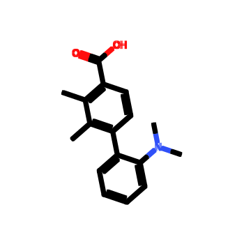 Cc1c(C(=O)O)ccc(-c2ccccc2N(C)C)c1C